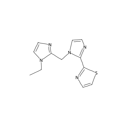 CCn1ccnc1Cn1ccnc1-c1nccs1